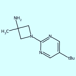 CC1(N)CN(c2ncc(C(C)(C)C)cn2)C1